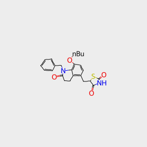 CCCCOc1ccc(CC2SC(=O)NC2=O)c2c1N(Cc1ccccc1)C(=O)CC2